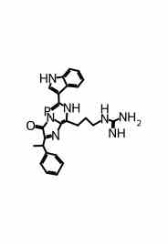 CC(c1ccccc1)c1nc2c(CCCNC(=N)N)[nH]c(-c3c[nH]c4ccccc34)pn-2c1=O